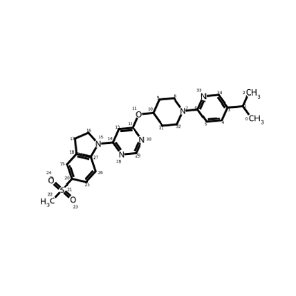 CC(C)c1ccc(N2CCC(Oc3cc(N4CCc5cc(S(C)(=O)=O)ccc54)ncn3)CC2)nc1